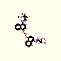 CC(C)(C)C(=O)Nc1ccc(OBOc2ccc(NC(=O)C(C)(C)C)c3ccccc23)c2ccccc12